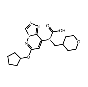 O=C(O)N(CC1CCOCC1)c1cc(OC2CCCC2)nn2cnnc12